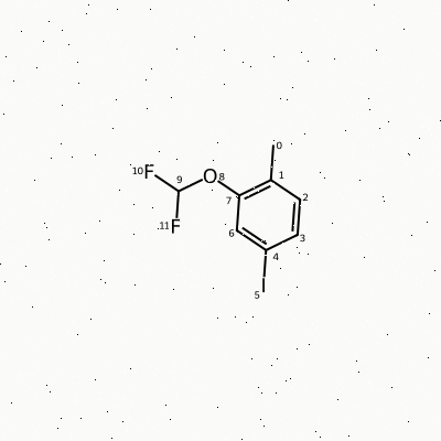 Cc1ccc(I)cc1OC(F)F